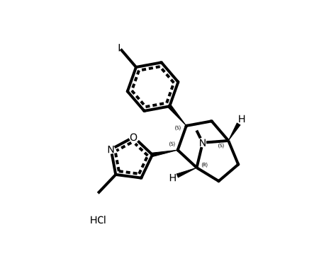 Cc1cc([C@H]2[C@@H](c3ccc(I)cc3)C[C@@H]3CC[C@H]2N3C)on1.Cl